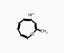 Cc1cccccccs1.I